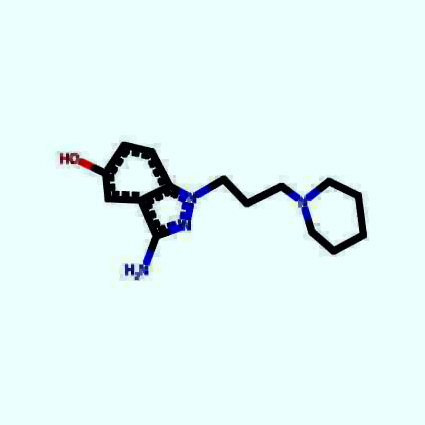 Nc1nn(CCCN2CCCCC2)c2ccc(O)cc12